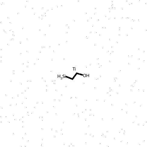 OCC[SiH3].[Ti]